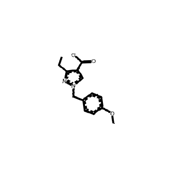 CCc1nn(Cc2ccc(OC)cc2)cc1C(=O)Cl